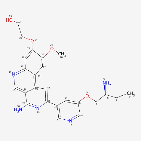 CC[C@H](N)COc1cncc(-c2cc3c(cnc4cc(OCCO)c(OC)cc43)c(N)n2)c1